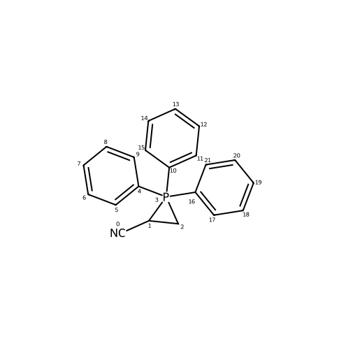 N#CC1CP1(c1ccccc1)(c1ccccc1)c1ccccc1